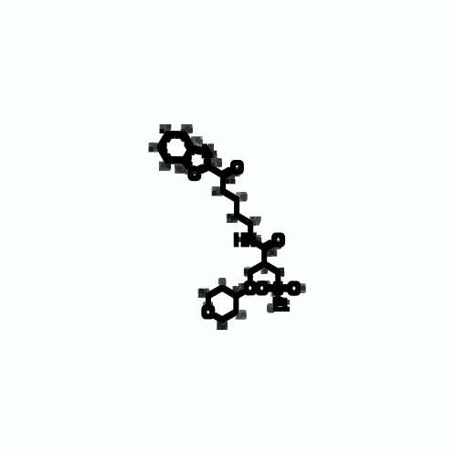 CCS(=O)(=O)CC(COC1CCOCC1)C(=O)NCCCCC(=O)c1nc2ccccc2o1